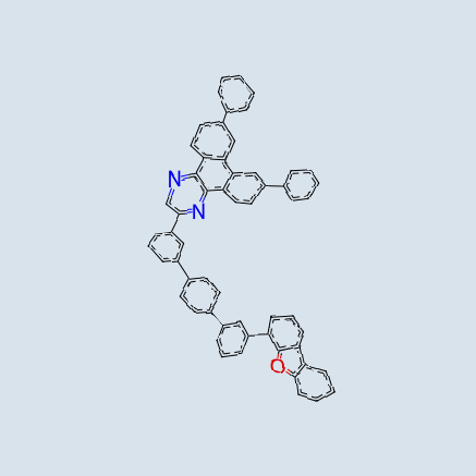 c1ccc(-c2ccc3c(c2)c2cc(-c4ccccc4)ccc2c2nc(-c4cccc(-c5ccc(-c6cccc(-c7cccc8c7oc7ccccc78)c6)cc5)c4)cnc32)cc1